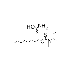 CCCCCCCCOC(=S)NC(C)CC.NC(O)=S